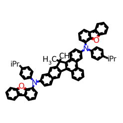 CC(C)c1ccc(N(c2ccc3cc4c(cc3c2)C(C)(C)c2c-4c3ccccc3c3cc(N(c4ccc(C(C)C)cc4)c4cccc5c4oc4ccccc45)ccc23)c2cccc3c2oc2ccccc23)cc1